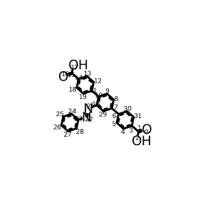 O=C(O)c1ccc(-c2ccc(-c3ccc(C(=O)O)cc3)c(/N=N/c3ccccc3)c2)cc1